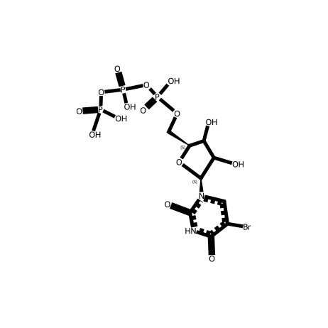 O=c1[nH]c(=O)n([C@H]2O[C@@H](COP(=O)(O)OP(=O)(O)OP(=O)(O)O)C(O)C2O)cc1Br